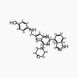 Oc1ccc(NCc2cc3nc(-c4cccc5[nH]ncc45)nc(N4CCOCC4)c3s2)cc1